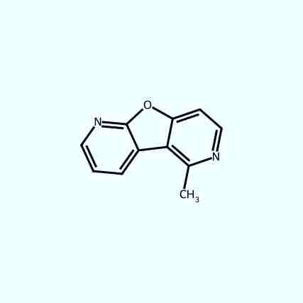 Cc1nccc2oc3ncccc3c12